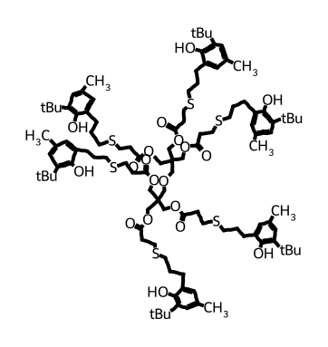 Cc1cc(CCCSCCC(=O)OCC(COCC(COC(=O)CCSCCCc2cc(C)cc(C(C)(C)C)c2O)(COC(=O)CCSCCCc2cc(C)cc(C(C)(C)C)c2O)COC(=O)CCSCCCc2cc(C)cc(C(C)(C)C)c2O)(COC(=O)CCSCCCc2cc(C)cc(C(C)(C)C)c2O)COC(=O)CCSCCCc2cc(C)cc(C(C)(C)C)c2O)c(O)c(C(C)(C)C)c1